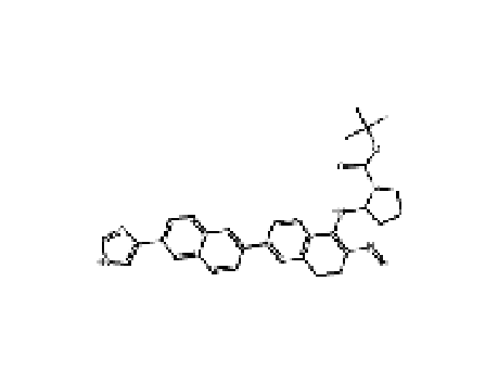 C=NC1=C(NC2CCCN2C(=O)OC(C)(C)C)c2ccc(-c3ccc4cc(-c5c[nH]cn5)ccc4c3)cc2CC1